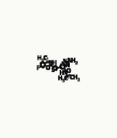 CC[C@@H](C)NC(=O)c1cc(-c2csc(C(=O)N[C@@H](CC)c3ccc(F)cc3)c2)cn2nc(N)nc12